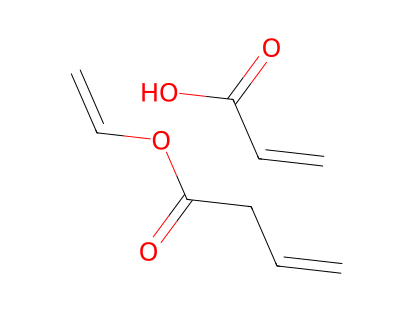 C=CC(=O)O.C=CCC(=O)OC=C